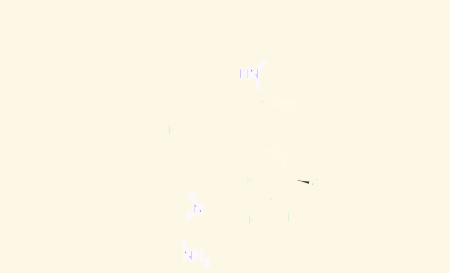 Cc1ccc(-c2cc(O[C@@H](C)C(F)(F)F)c(C(=O)Nc3c(F)cccc3Cl)cc2F)nc1N